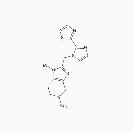 CCn1c(Cn2ccnc2-c2nccs2)nc2c1CCN(C)C2